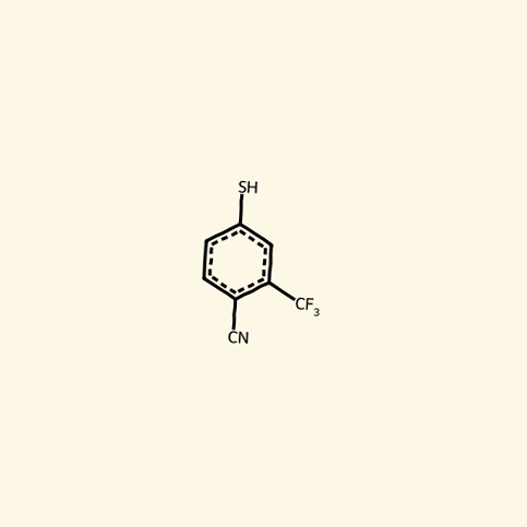 N#Cc1ccc(S)cc1C(F)(F)F